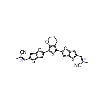 C/C(C#N)=C/c1cc2oc(-c3sc(-c4cc5sc(/C=C(/C)C#N)cc5o4)c4c3CCCO4)cc2s1